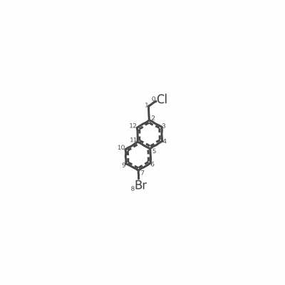 ClCc1ccc2cc(Br)ccc2c1